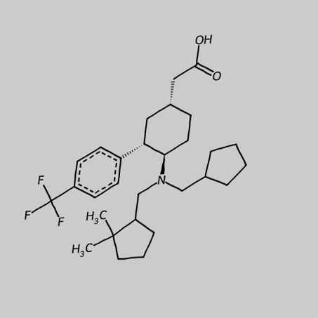 CC1(C)CCCC1CN(CC1CCCC1)[C@@H]1CC[C@@H](CC(=O)O)C[C@H]1c1ccc(C(F)(F)F)cc1